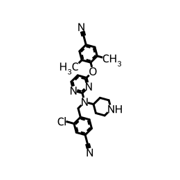 Cc1cc(C#N)cc(C)c1Oc1ccnc(N(Cc2ccc(C#N)cc2Cl)C2CCNCC2)n1